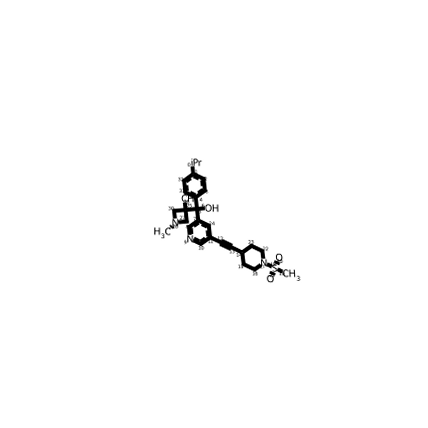 CC(C)c1ccc(C(O)(c2cncc(C#CC3CCN(S(C)(=O)=O)CC3)c2)C2(C)CN(C)C2)cc1